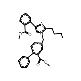 CCCCc1nc(-c2ccccc2C(=O)OC)cn1Cc1ccc(-c2ccccc2)c(C(=O)OC)c1